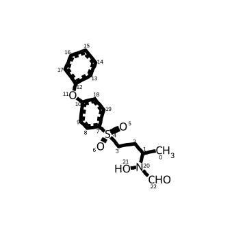 CC(CCS(=O)(=O)c1ccc(Oc2ccccc2)cc1)N(O)C=O